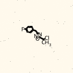 CC(Cl)c1nc(Cc2ccc(F)cc2)no1